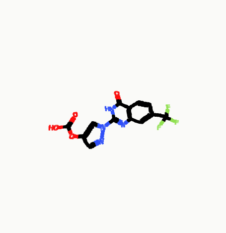 O=C(O)Oc1cnn(-c2nc3cc(C(F)(F)F)ccc3c(=O)[nH]2)c1